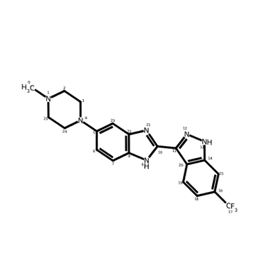 CN1CCN(c2ccc3[nH]c(-c4n[nH]c5cc(C(F)(F)F)ccc45)nc3c2)CC1